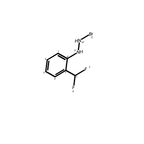 FC(F)c1ccccc1NNBr